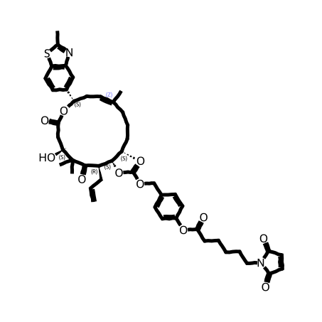 C=CC[C@H]1C(=O)C(C)(C)[C@@H](O)CC(=O)O[C@H](c2ccc3sc(C)nc3c2)C/C=C(/C)CCC[C@H](C)[C@@H]1OC(=O)OCc1ccc(OC(=O)CCCCCN2C(=O)C=CC2=O)cc1